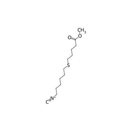 [C-]#[N+]CCCCCCSCCCCC(=O)OC